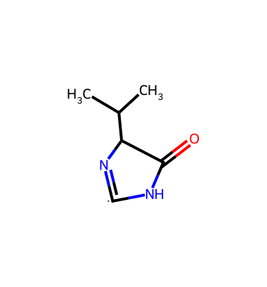 CC(C)C1N=[C]NC1=O